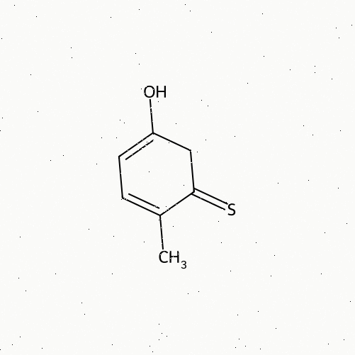 CC1=CC=C(O)CC1=S